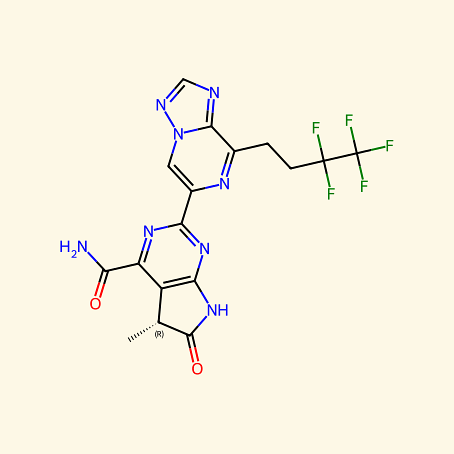 C[C@H]1C(=O)Nc2nc(-c3cn4ncnc4c(CCC(F)(F)C(F)(F)F)n3)nc(C(N)=O)c21